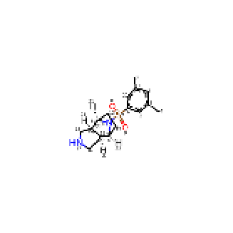 Cc1cc(C)cc(S(=O)(=O)N2[C@@H]3CC[C@H]2[C@H]2CNC[C@H]23)c1